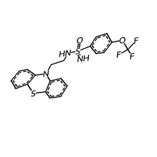 N=S(=O)(NCCN1c2ccccc2Sc2ccccc21)c1ccc(OC(F)(F)F)cc1